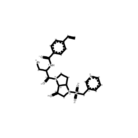 C=Cc1ccc(C(=O)NC(CC(C)C)C(=O)N2CCC3C2C(=O)CN3S(=O)(=O)Cc2cccnc2)cc1